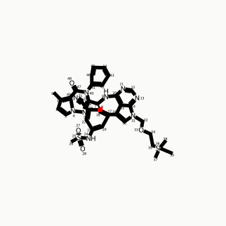 Cc1ccn2nc([C@H](C)Nc3ncnc4c3c(-c3cc(C#N)cc(NS(C)(=O)=O)c3)cn4COCC[Si](C)(C)C)n(-c3ccccc3)c(=O)c12